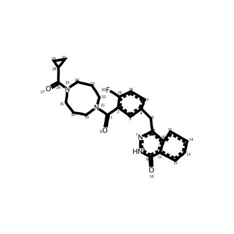 O=C(c1cc(Cc2n[nH]c(=O)c3ccccc23)ccc1F)N1CCCN(C(=O)C2CC2)CCC1